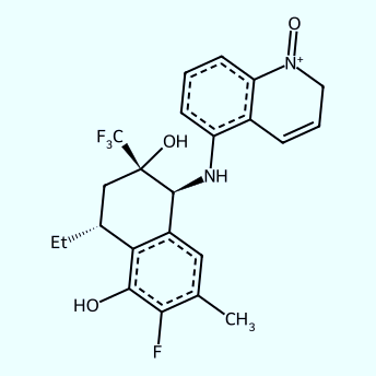 CC[C@@H]1C[C@@](O)(C(F)(F)F)[C@@H](Nc2cccc3c2C=CC[N+]3=O)c2cc(C)c(F)c(O)c21